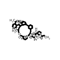 C=CC(=O)N1CCC(O)(C(=O)N(C)[C@H](C(=O)N[C@H]2Cc3cccc(c3)-c3ccc4c(c3)c(c(-c3cnccc3[C@H](C)OC)n4CC)CC(C)(C)COC(=O)[C@@H]3CCCN(N3)C2=O)C(C)C)C1